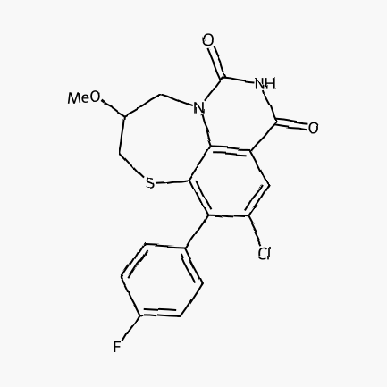 COC1CSc2c(-c3ccc(F)cc3)c(Cl)cc3c(=O)[nH]c(=O)n(c23)C1